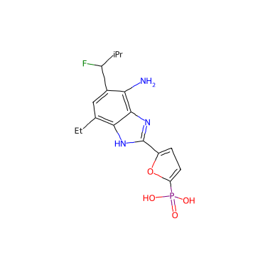 CCc1cc(C(F)C(C)C)c(N)c2nc(-c3ccc(P(=O)(O)O)o3)[nH]c12